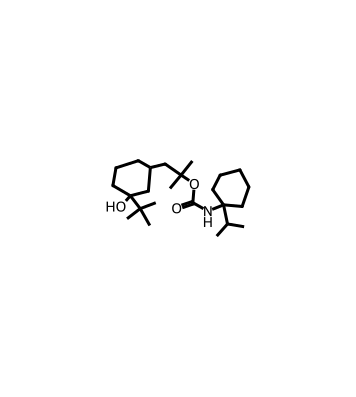 CC(C)C1(NC(=O)OC(C)(C)CC2CCCC(O)(C(C)(C)C)C2)CCCCC1